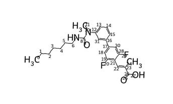 CCCCCCCNC(=O)N(C)c1cccc(-c2cc(F)c(C=C(C)C(=O)O)c(F)c2)c1